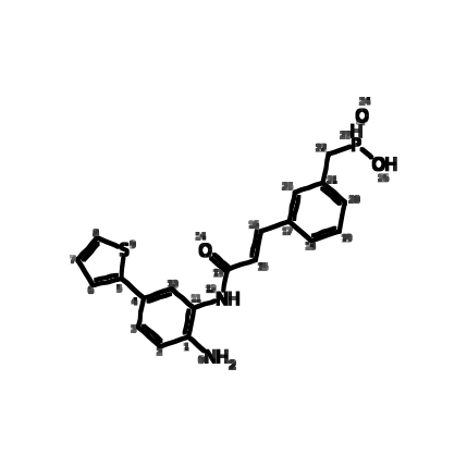 Nc1ccc(-c2cccs2)cc1NC(=O)C=Cc1cccc(C[PH](=O)O)c1